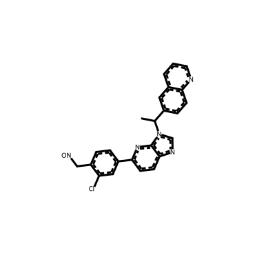 CC(c1ccc2ncccc2c1)n1cnc2ccc(-c3ccc(CN=O)c(Cl)c3)nc21